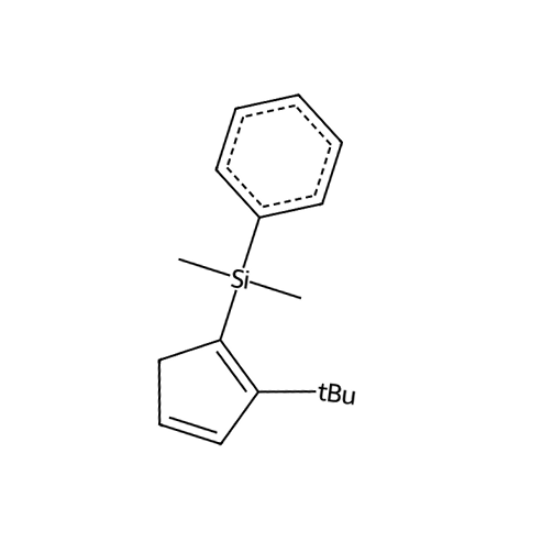 CC(C)(C)C1=C([Si](C)(C)c2ccccc2)CC=C1